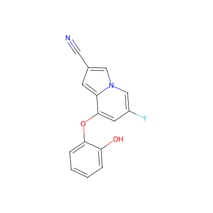 N#Cc1cc2c(Oc3ccccc3O)cc(F)cn2c1